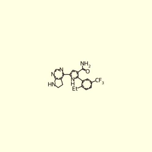 CCc1ccc(C(F)(F)F)cc1-c1[nH]c(-c2ncnc3c2CCN3)cc1C(N)=O